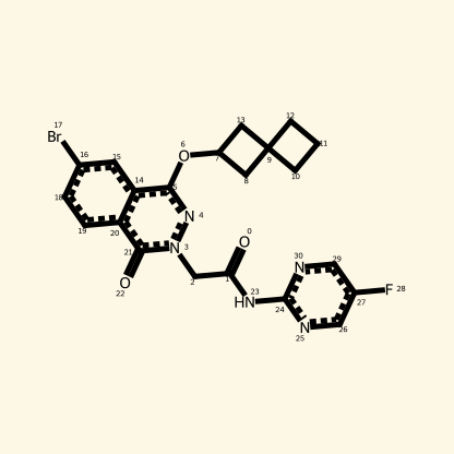 O=C(Cn1nc(OC2CC3(CCC3)C2)c2cc(Br)ccc2c1=O)Nc1ncc(F)cn1